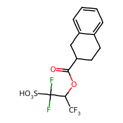 O=C(OC(C(F)(F)F)C(F)(F)S(=O)(=O)O)C1CCc2ccccc2C1